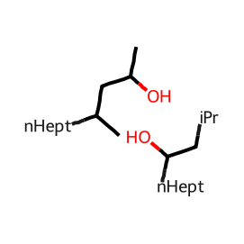 CCCCCCCC(C)CC(C)O.CCCCCCCC(O)CC(C)C